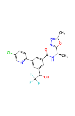 Cc1nnc([C@@H](C)NC(=O)c2cc(-c3ccc(Cl)cn3)cc(C(O)C(F)(F)F)c2)o1